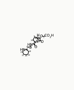 O=C(O)CON1C(=O)N2C[C@H]1CC[C@H]2C(=O)NOC[C@@H]1CCCCCN1